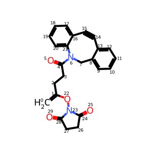 C=C(CCC(=O)N1Cc2ccccc2C#Cc2ccccc21)ON1C(=O)CCC1=O